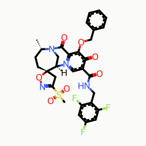 C[C@H]1CC[C@]2(CC(S(C)(=O)=O)=NO2)[C@H]2CN1C(=O)c1c(OCc3ccccc3)c(=O)c(C(=O)NCc3c(F)cc(F)cc3F)cn12